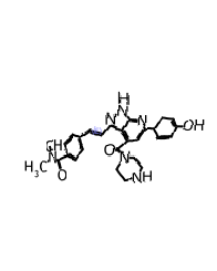 CN(C)C(=O)c1ccc(/C=C/c2n[nH]c3nc(C4C=CC(O)=CC4)cc(C(=O)N4CCNCC4)c23)cc1